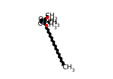 CC=CCCCCCCCCCCCCCCCCCCCC(CCC)(P(=O)=O)[N+](C)(C)C